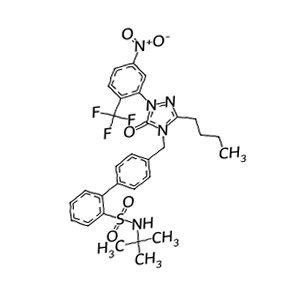 CCCCc1nn(-c2cc([N+](=O)[O-])ccc2C(F)(F)F)c(=O)n1Cc1ccc(-c2ccccc2S(=O)(=O)NC(C)(C)C)cc1